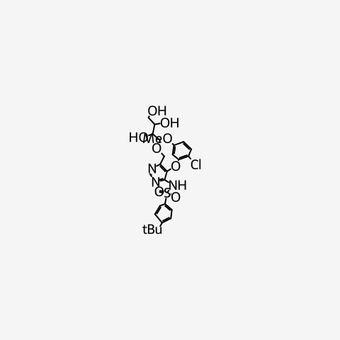 COc1ccc(Cl)c(Oc2c(COCC(O)C(O)CO)ncnc2NS(=O)(=O)c2ccc(C(C)(C)C)cc2)c1